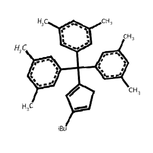 CCC(C)C1=CCC(C(c2cc(C)cc(C)c2)(c2cc(C)cc(C)c2)c2cc(C)cc(C)c2)=C1